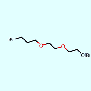 CC(C)CCCOCCOCCOCC(C)C